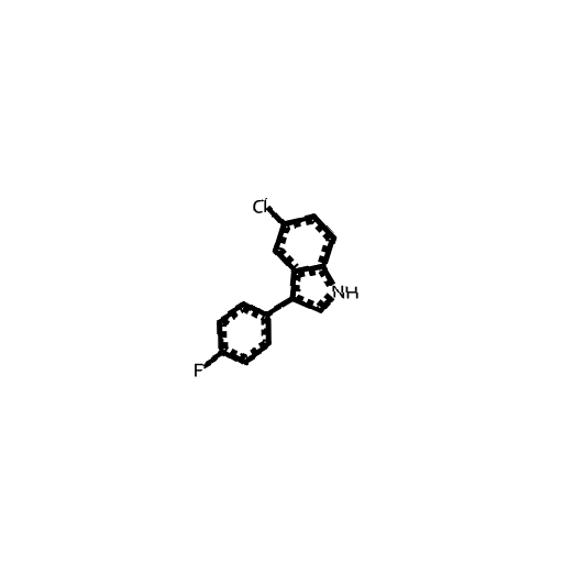 Fc1ccc(-c2c[nH]c3ccc(Cl)cc23)cc1